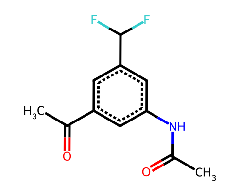 CC(=O)Nc1cc(C(C)=O)cc(C(F)F)c1